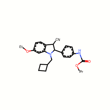 CCOc1ccc2c(c1)N(CC1CCC1)C(c1ccc(NC(=O)OC(C)C)cc1)C2C#N